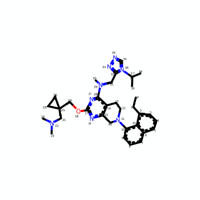 CCc1cccc2cccc(N3CCc4c(nc(OCC5(CN(C)C)CC5)nc4N(C)Cc4nncn4C(C)C)C3)c12